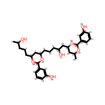 CC(O)CCCC1CC(CCCC(O)CC2CC(C)OC(c3cccc(O)c3)O2)OC(c2cccc(O)c2)O1